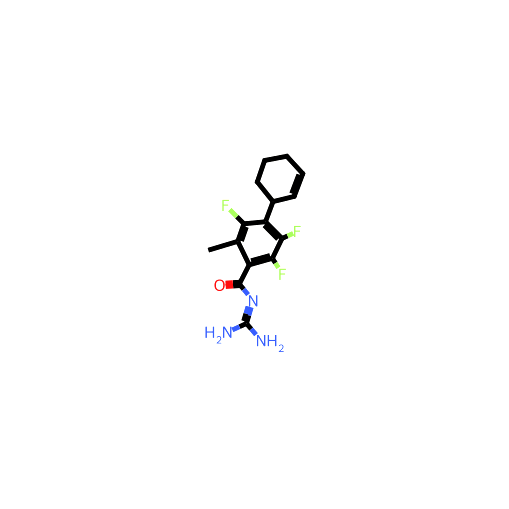 Cc1c(F)c(C2C=CCCC2)c(F)c(F)c1C(=O)N=C(N)N